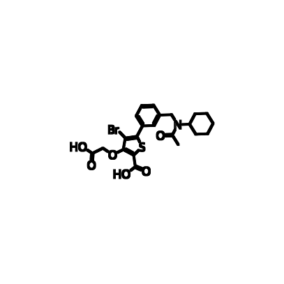 CC(=O)N(Cc1cccc(-c2sc(C(=O)O)c(OCC(=O)O)c2Br)c1)C1CCCCC1